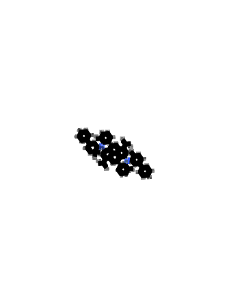 Cc1ccccc1N(c1cc(-c2ccccc2)ccc1C)c1cc(C(C)C)c2ccc3c(N(c4ccccc4C)C4C=C(c5ccccc5)C=CC4(C)C)cc(C(C)C)c4ccc1c2c43